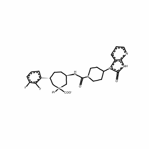 CC(C)[N+]1(C(=O)[O-])C[C@H](NC(=O)N2CCC(n3c(=O)[nH]c4ncccc43)CC2)CC[C@@H](c2cccc(F)c2F)C1